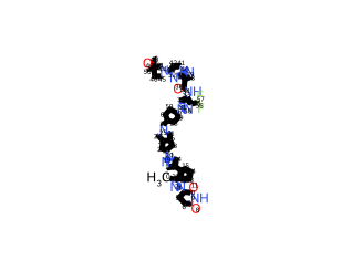 Cc1nn(C2CCC(=O)NC2=O)c2cccc(-c3cnn(C4CC5CN(CC6CCC(n7cc(NC(=O)c8cnn9ccc(N%10CCC%11(COC%11)C%10)nc89)c(C(F)F)n7)CC6)CC5C4)c3)c12